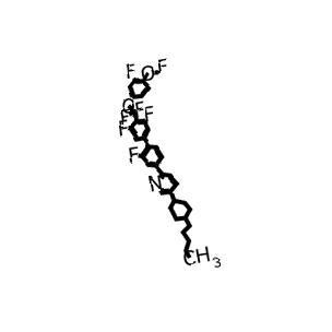 CCCCCC1CCC(c2ccc(-c3ccc(-c4cc(F)c(C(F)(F)Oc5ccc(OCF)c(F)c5)c(F)c4)c(F)c3)nc2)CC1